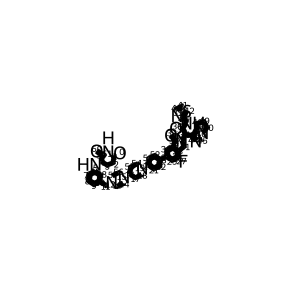 O=C1CCC(Nc2cccc(CN3CCN(C4CCN(c5ccc(-c6cc(F)c7c(c6)C(=O)N(C(C(=O)Nc6nccs6)c6ncn8c6CCC8)C7)cc5)CC4)CC3)c2)C(=O)N1